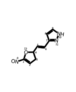 O=NC1=CCC(/C=C/c2cc[nH]n2)O1